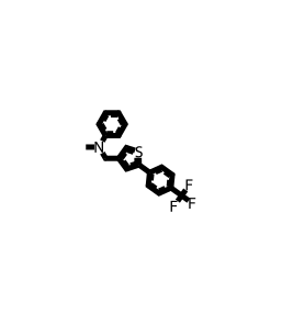 CN(Cc1csc(-c2ccc(C(F)(F)F)cc2)c1)c1ccccc1